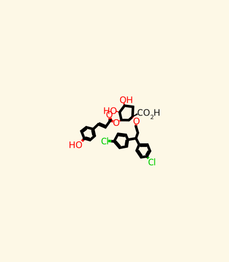 O=C(/C=C/c1ccc(O)cc1)O[C@@H]1C[C@](OCCC(c2ccc(Cl)cc2)c2ccc(Cl)cc2)(C(=O)O)C[C@H](O)[C@H]1O